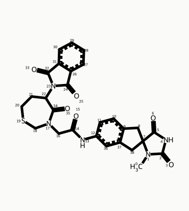 CN1C(=O)NC(=O)C12Cc1ccc(NC(=O)CN3CSCCC(N4C(=O)c5ccccc5C4=O)C3=O)cc1C2